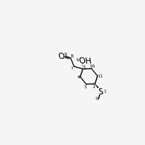 CS[C@H]1CC[C@@](O)(CC=O)CC1